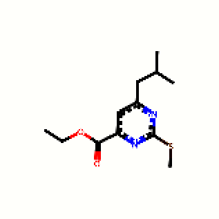 CCOC(=O)c1cc(CC(C)C)nc(SC)n1